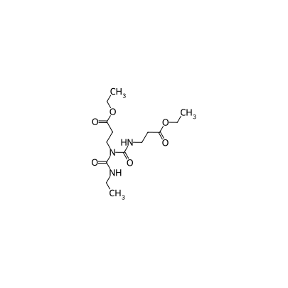 CCNC(=O)N(CCC(=O)OCC)C(=O)NCCC(=O)OCC